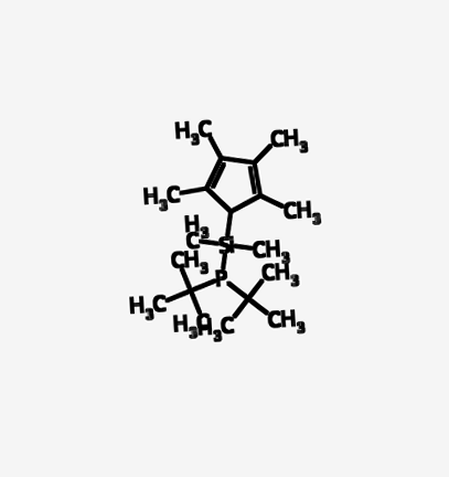 CC1=C(C)C([Si](C)(C)P(C(C)(C)C)C(C)(C)C)C(C)=C1C